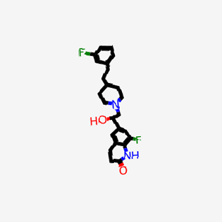 O=C1CCc2cc(C(O)CN3CCC(CCc4cccc(F)c4)CC3)cc(F)c2N1